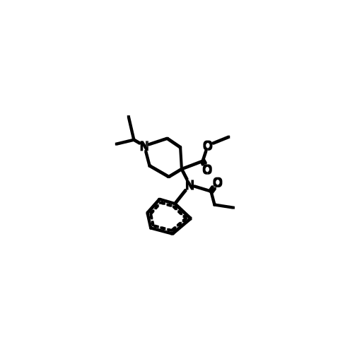 CCC(=O)N(c1ccccc1)C1(C(=O)OC)CCN(C(C)C)CC1